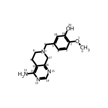 COc1ccc(CN2CCc3c(N)ncnc3C2)cc1O